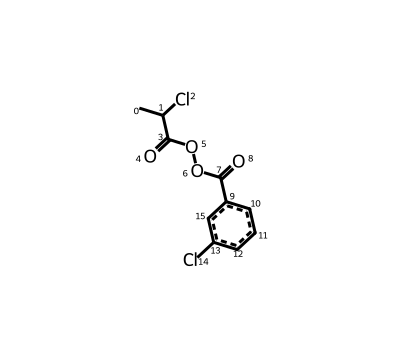 CC(Cl)C(=O)OOC(=O)c1cccc(Cl)c1